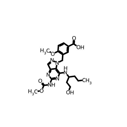 CCCC(CCO)Nc1nc(NC(=O)OC)nc2cnn(Cc3cc(C(=O)O)ccc3OC)c12